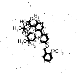 COc1ccccc1COc1ccc(-c2cnc(C)c(C(OC(C)(C)C)C(=O)O)c2N2CCC(C)(C)CC2)nc1